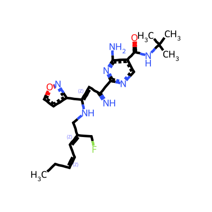 CC/C=C\C=C(/CF)CN/C(=C\C(=N)c1ncc(C(=O)NC(C)(C)C)c(N)n1)c1ccon1